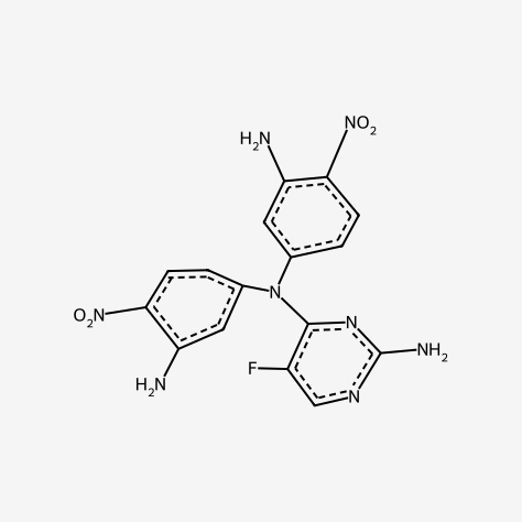 Nc1ncc(F)c(N(c2ccc([N+](=O)[O-])c(N)c2)c2ccc([N+](=O)[O-])c(N)c2)n1